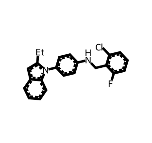 CCc1cc2ccccc2n1-c1ccc(NCc2c(F)cccc2Cl)cc1